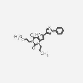 CCCn1c(=O)n(CCOC)c(=O)c2[nH]c(-c3cnn(-c4ccccc4)c3)cc21